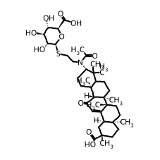 CC(=O)N(CCS[C@@H]1O[C@H](C(=O)O)[C@@H](O)[C@H](O)[C@H]1O)[C@H]1CC[C@@]2(C)C(CC[C@]3(C)[C@@H]2C(=O)C=C2[C@@H]4C[C@@](C)(C(=O)O)CC[C@]4(C)CC[C@]23C)C1(C)C